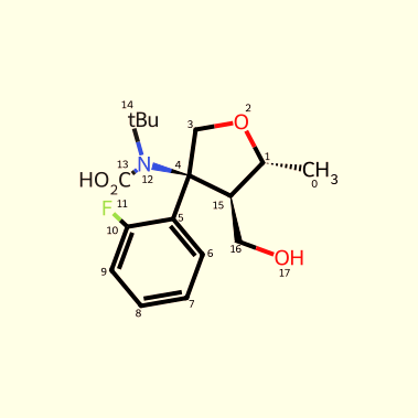 C[C@H]1OC[C@](c2ccccc2F)(N(C(=O)O)C(C)(C)C)[C@@H]1CO